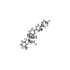 CN1CCN(c2ccc(-c3ccc4nc([C@H](N)Cc5cccc(F)c5)[nH]c4c3)cn2)CC1